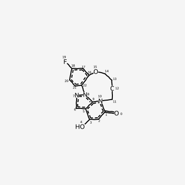 O=c1cc(O)c2cnn3c2n1CCCCOc1cc(F)ccc1-3